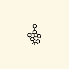 CC1(C)c2ccccc2-c2c(-n3c4ccccc4c4cc(-c5ccccc5)cc(-c5ccccc5)c43)cccc21